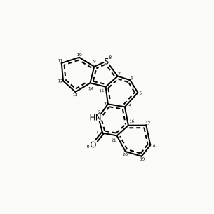 O=c1[nH]c2c(ccc3sc4ccccc4c32)c2ccccc12